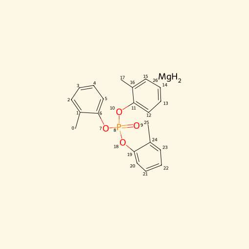 Cc1ccccc1OP(=O)(Oc1ccccc1C)Oc1ccccc1C.[MgH2]